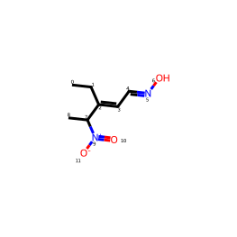 CC/C(=C\C=N\O)C(C)[N+](=O)[O-]